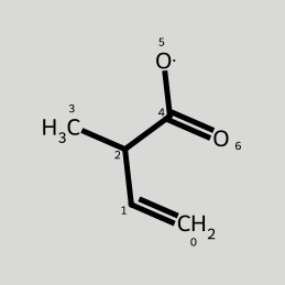 C=CC(C)C([O])=O